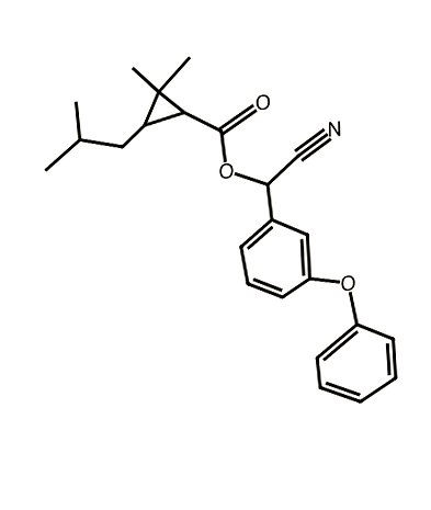 CC(C)CC1C(C(=O)OC(C#N)c2cccc(Oc3ccccc3)c2)C1(C)C